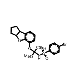 COC(NS(=O)(=O)c1ccc(Br)cc1)(Oc1cccc2c1OC1CCCC21)C(=O)O